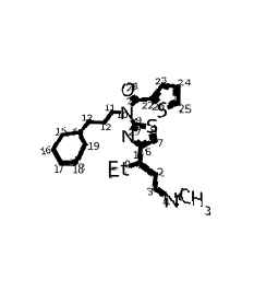 CC/C(=C\C=N/C)c1csc(N(CCCC2CCCCC2)C(=O)c2cccs2)n1